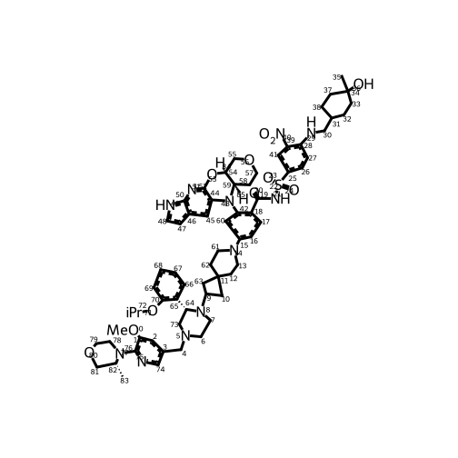 COc1cc(CN2CCN(C3CC4(CCN(c5ccc(C(=O)NS(=O)(=O)c6ccc(NCC7CCC(C)(O)CC7)c([N+](=O)[O-])c6)c(N6c7cc8cc[nH]c8nc7O[C@H]7COCC[C@@H]76)c5)CC4)C3)[C@@H](c3ccccc3OC(C)C)C2)cnc1N1CCOC[C@H]1C